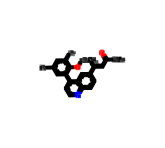 CCCCOc1c(-c2ccnc3ccc(/C(C)=C/C(=O)OC)cc23)cc(C(C)C)cc1C(C)C